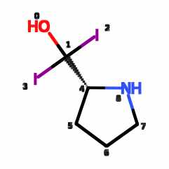 OC(I)(I)[C@H]1CCCN1